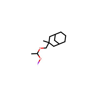 CC(OI)OCC1(C)CC2CCCC(C2)C1